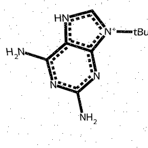 CC(C)(C)[n+]1c[nH]c2c(N)nc(N)nc21